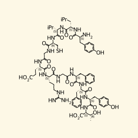 CC(C)C[C@H](NC(=O)[C@@H](N)Cc1ccc(O)cc1)C(=O)N[C@H](C(=O)N[C@@H](CS)C(=O)NCC(=O)N[C@@H](CCC(=O)O)C(=O)N[C@@H](CCCNC(=N)N)C(=O)NCC(=O)N[C@@H](Cc1ccccc1)C(=O)N[C@@H](Cc1ccccc1)C(=O)N[C@@H](Cc1ccc(O)cc1)C(=O)N[C@H](C(=O)O)[C@@H](C)O)C(C)C